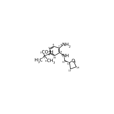 CC(C)(C(=O)O)c1ccc(N)c(NC[C@@H]2CCO2)c1